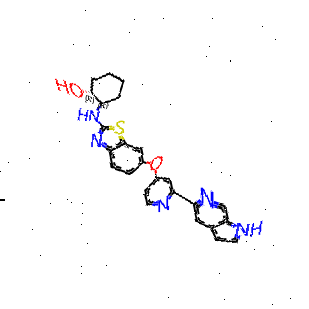 O[C@@H]1CCCC[C@H]1Nc1nc2ccc(Oc3ccnc(-c4cc5cc[nH]c5cn4)c3)cc2s1